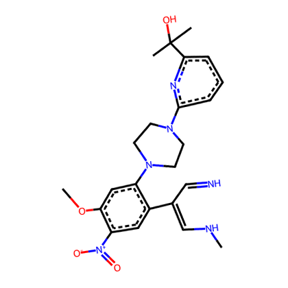 CN/C=C(\C=N)c1cc([N+](=O)[O-])c(OC)cc1N1CCN(c2cccc(C(C)(C)O)n2)CC1